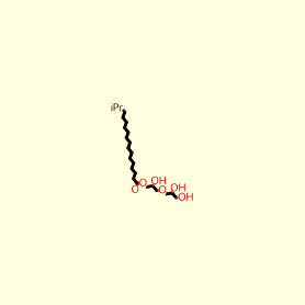 CC(C)CCCCCCCCCCCCCCC(=O)OCC(O)COCC(O)CO